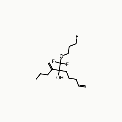 C=CCCCC(O)(C(=C)CCC)C(F)(F)OCCCF